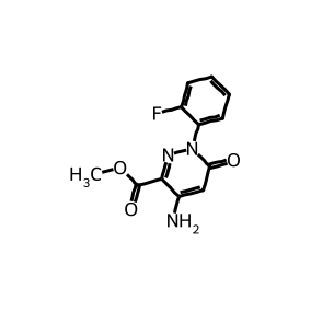 COC(=O)c1nn(-c2ccccc2F)c(=O)cc1N